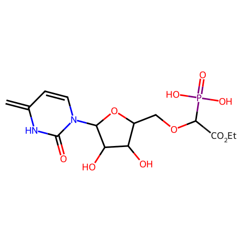 C=C1C=CN(C2OC(COC(C(=O)OCC)P(=O)(O)O)C(O)C2O)C(=O)N1